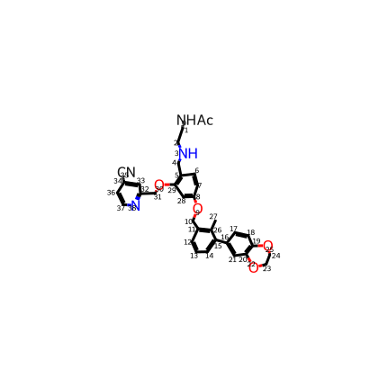 CC(=O)NCCNCc1ccc(OCc2cccc(-c3ccc4c(c3)OCCO4)c2C)cc1OCc1cc(C#N)ccn1